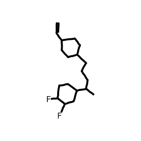 C=CC1CCC(CCCC(C)C2CCC(F)C(F)C2)CC1